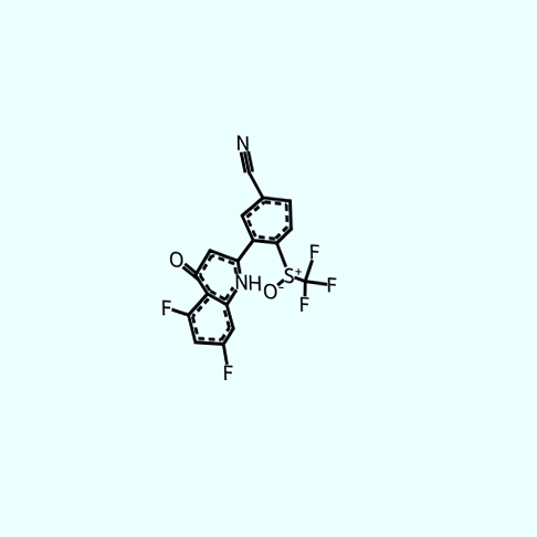 N#Cc1ccc([S+]([O-])C(F)(F)F)c(-c2cc(=O)c3c(F)cc(F)cc3[nH]2)c1